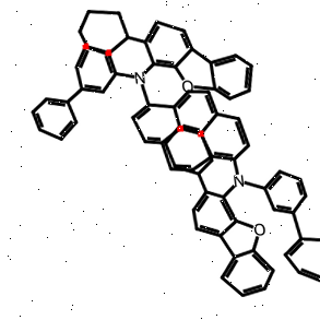 c1ccc(-c2cccc(N(c3ccc4ccc5c(N(c6cccc(-c7ccccc7)c6)c6c(C7CCCCC7)ccc7c6oc6ccccc67)ccc6ccc3c4c65)c3c(C4CCCCC4)ccc4c3oc3ccccc34)c2)cc1